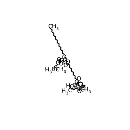 CCCCCCCCCCCCCCCCCOCC(COP(=O)(O)OCCN(C)C)OC(=O)CCCCCCCCC(=O)OC1CC[C@]2(CO2)[C@@H]([C@@]2(C)OC2CC=C(C)C)[C@@H]1OC